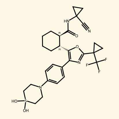 N#CC1(NC(=O)[C@@H]2CCCC[C@H]2c2oc(C3(C(F)(F)F)CC3)nc2-c2ccc(N3CCS(O)(O)CC3)cc2)CC1